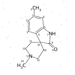 Cc1ccc2c(c1)NC(=O)C21CCN(C)CC1